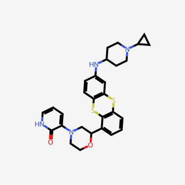 O=c1[nH]cccc1N1CCOC(c2cccc3c2Sc2ccc(NC4CCN(C5CC5)CC4)cc2S3)C1